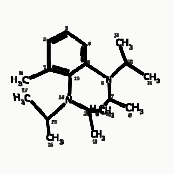 Cc1cccc(N(C(C)C)C(C)C)c1N(C(C)C)C(C)C